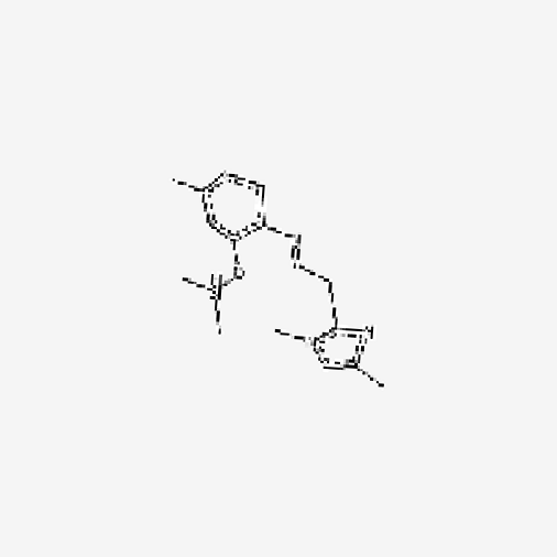 Cc1ccc(N=CCc2nc(C)cn2C)c(O[SiH](C)C)c1